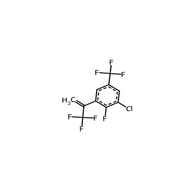 C=C(c1cc(C(F)(F)F)cc(Cl)c1F)C(F)(F)F